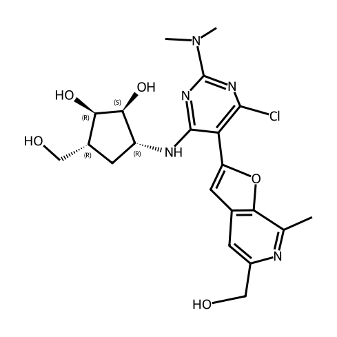 Cc1nc(CO)cc2cc(-c3c(Cl)nc(N(C)C)nc3N[C@@H]3C[C@H](CO)[C@@H](O)[C@H]3O)oc12